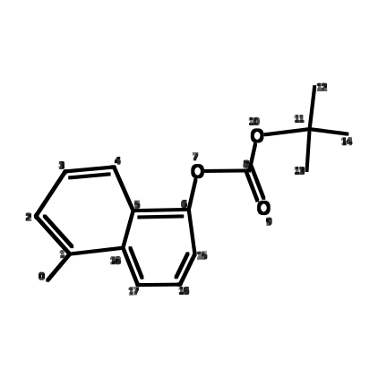 Cc1cccc2c(OC(=O)OC(C)(C)C)cccc12